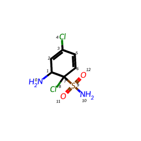 NC1C=C(Cl)C=CC1(Cl)S(N)(=O)=O